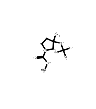 [2H]C([2H])([2H])OC1(C)CCN(C(=O)OC(C)(C)C)C1